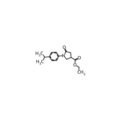 CCOC(=O)C1CC(=O)N(c2ccc(C(C)C)cc2)C1